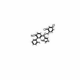 Cc1ccccc1-c1cc(C(OCc2ccc(Cl)cc2Cl)c2cncn2C)ccc1C#N